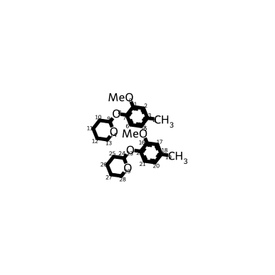 COc1cc(C)ccc1OC1CCCCO1.COc1cc(C)ccc1OC1CCCCO1